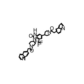 O=C(Cc1ccc2ncccc2c1)N1CCC(c2cc(C(F)(F)F)c3c(c2)[nH]c(=O)n3C2CCN(C(=O)Cc3ccc4ncccc4c3)CC2)CC1